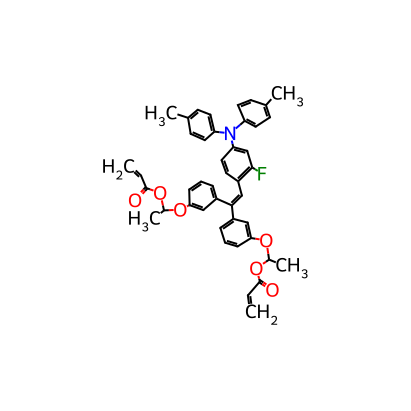 C=CC(=O)OC(C)Oc1cccc(C(=Cc2ccc(N(c3ccc(C)cc3)c3ccc(C)cc3)cc2F)c2cccc(OC(C)OC(=O)C=C)c2)c1